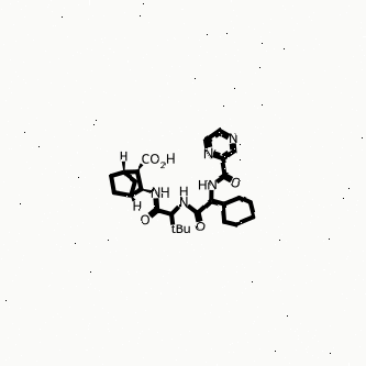 CC(C)(C)C(NC(=O)C(NC(=O)c1cnccn1)C1CCCCC1)C(=O)N[C@H]1[C@@H]2CC[C@@H](C2)[C@H]1C(=O)O